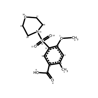 COc1cc(C)c(C(=O)O)cc1S(=O)(=O)N1CCOCC1